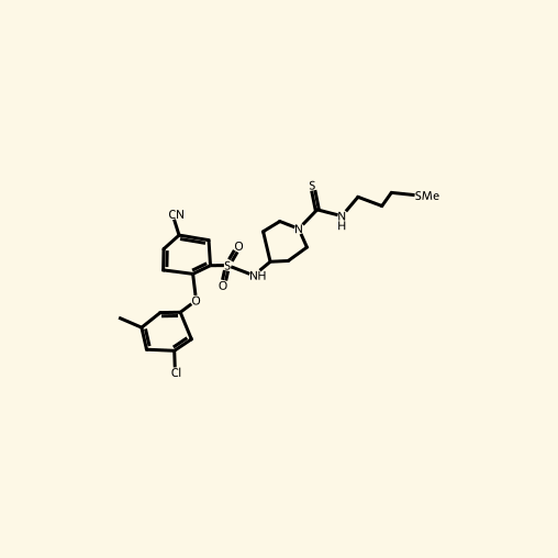 CSCCCNC(=S)N1CCC(NS(=O)(=O)c2cc(C#N)ccc2Oc2cc(C)cc(Cl)c2)CC1